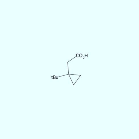 CC(C)(C)C1(CC(=O)O)CC1